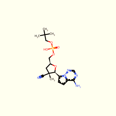 CC(C)(C)COP(=O)(O)OC[C@@H]1C[C@@](C)(C#N)[C@H](c2ccc3c(N)ncnn23)O1